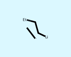 [CH2]C.[Li][CH2]CCC